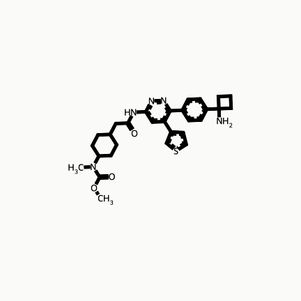 COC(=O)N(C)C1CCC(CC(=O)Nc2cc(-c3ccsc3)c(-c3ccc(C4(N)CCC4)cc3)nn2)CC1